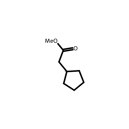 COC(=O)C[C]1CCCC1